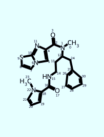 CN(C(=O)c1cn2ccsc2n1)C(CCNC(=O)c1cccn1C)Cc1ccccc1